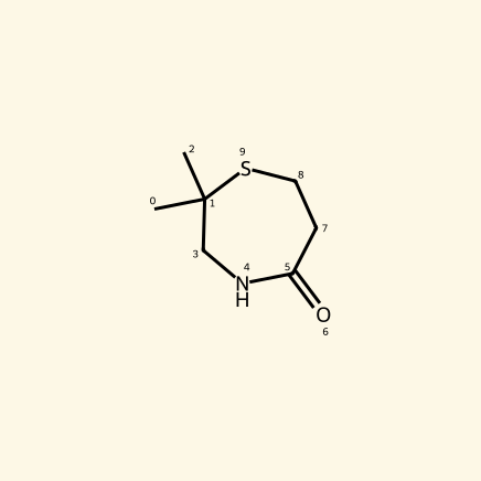 CC1(C)CNC(=O)CCS1